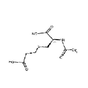 CC(=O)N[C@@H](CSCCC(=O)O)C(=O)O